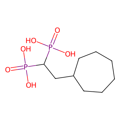 O=P(O)(O)C(CC1CCCCCC1)P(=O)(O)O